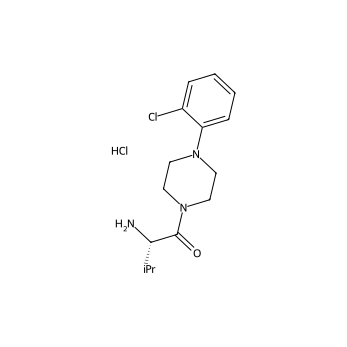 CC(C)[C@H](N)C(=O)N1CCN(c2ccccc2Cl)CC1.Cl